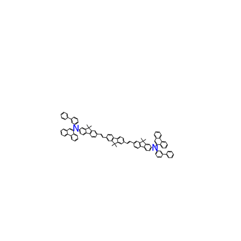 CC1(C)c2cc(/C=C/c3ccc4c(c3)C(C)(C)c3cc(N(c5cccc(-c6ccccc6)c5)c5cc6ccccc6c6ccccc56)ccc3-4)ccc2-c2ccc(/C=C/c3ccc4c(c3)C(C)(C)c3cc(N(c5cccc(-c6ccccc6)c5)c5cc6ccccc6c6ccccc56)ccc3-4)cc21